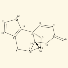 C=C1C=C[C@]23CCN(Cc4ccsc42)[C@H]3C1